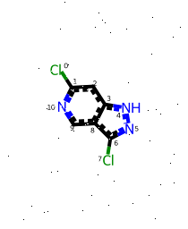 Clc1cc2[nH]nc(Cl)c2cn1